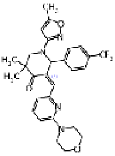 Cc1cc(N2CC(C)(C)C(=O)/C(=C\c3cccc(N4CCOCC4)n3)C2c2ccc(C(F)(F)F)cc2)no1